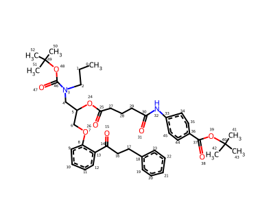 CCCN(CC(COc1ccccc1C(=O)CCc1ccccc1)OC(=O)CCCC(=O)Nc1ccc(C(=O)OC(C)(C)C)cc1)C(=O)OC(C)(C)C